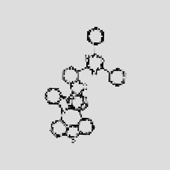 c1ccc(-c2nc(-c3ccccc3)nc(-c3cccc4c3oc3cc(-c5cccc6sc7cccc(-n8c9ccccc9c9ccccc98)c7c56)ccc34)n2)cc1